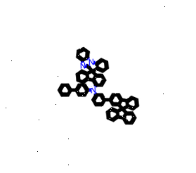 c1ccc(-c2ccc(N(c3cccc(-c4ccc5c(c4)C4(c6ccccc6-c6ccccc64)c4ccccc4-5)c3)c3cccc4c3-c3ccccc3C43c4ccccc4-n4c3nc3ccccc34)cc2)cc1